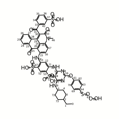 CCC1CCC(Nc2nc(Nc3cc(Nc4ccc5c6c4C(=O)c4ccccc4-c6c(C(=O)c4cccc(S(=O)(=O)O)c4)c(=O)n5C)c(S(=O)(=O)O)cc3S(=O)(=O)O)nc(Oc3ccc(SOOO)cc3)n2)CC1